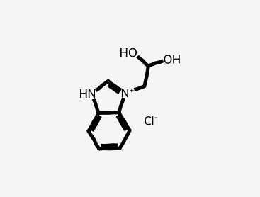 OC(O)C[n+]1c[nH]c2ccccc21.[Cl-]